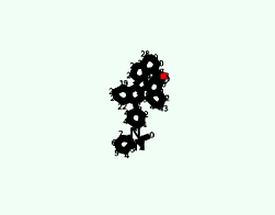 Cc1nc2ccccc2n1-c1ccc(-c2cc3c(c4ccccc24)-c2ccc4ccccc4c2C32c3ccccc3-c3ccccc32)cc1